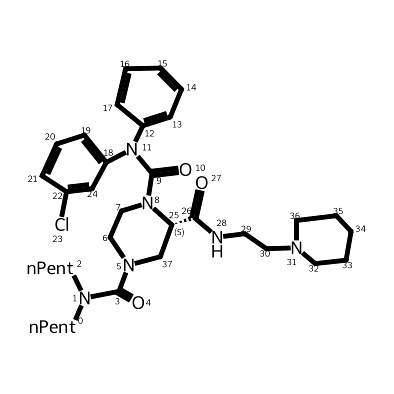 CCCCCN(CCCCC)C(=O)N1CCN(C(=O)N(c2ccccc2)c2cccc(Cl)c2)[C@H](C(=O)NCCN2CCCCC2)C1